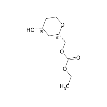 CCOC(=O)OC[C@@H]1C[C@H](O)CCO1